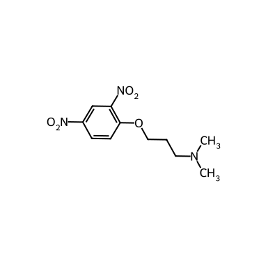 CN(C)CCCOc1ccc([N+](=O)[O-])cc1[N+](=O)[O-]